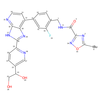 CC(C)(C)c1nc(C(=O)NCc2ccc(-c3ccnc4[nH]c(-c5ccc(C(O)CO)cn5)nc34)cc2F)no1